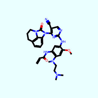 C=CC(=O)Nc1cc(Nc2ncc(C#N)c(-n3c(=O)n4c5c(cccc53)CCC4)n2)c(OC)cc1N(C)CCN(C)C